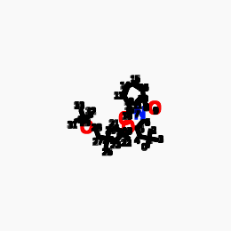 CC(C)(C)CC(CN1C(=O)C2=CC(C=CC=C2)C1=O)OC(C)(C)CC(C)(C)CCOC(C)(C)C